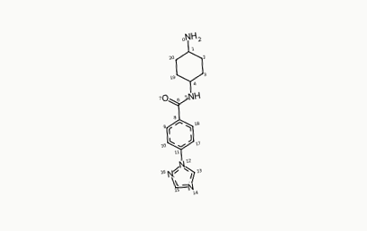 NC1CCC(NC(=O)c2ccc(-n3cncn3)cc2)CC1